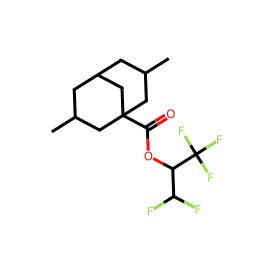 CC1CC2CC(C)CC(C(=O)OC(C(F)F)C(F)(F)F)(C1)C2